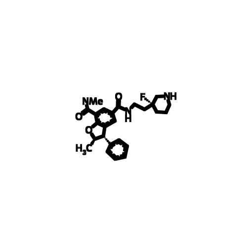 CNC(=O)c1cc(C(=O)NCC[C@]2(F)CCCNC2)cc2c1O[C@H](C)[C@H]2c1ccccc1